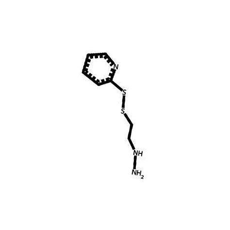 NNCCSSc1ccccn1